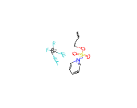 CCCOS(=O)(=O)[n+]1ccccc1.F[B-](F)(F)F